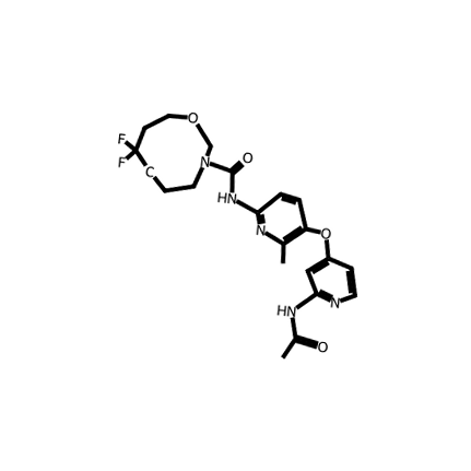 CC(=O)Nc1cc(Oc2ccc(NC(=O)N3CCCC(F)(F)CCOC3)nc2C)ccn1